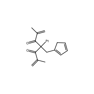 C=C(C)C(=O)[C]([Pt])(CC1=CC=CC1)C(=O)C(=C)C